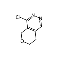 Clc1nncc2c1COCC2